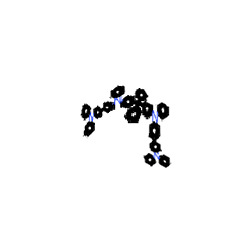 c1ccc(N(c2ccccc2)c2ccc(-c3ccc(N(c4ccccc4)c4ccc(C(c5ccccc5)(c5ccccc5)c5ccc(N(c6ccccc6)c6ccc(-c7ccc(N(c8ccccc8)c8ccccc8)cc7)cc6)cc5)cc4)cc3)cc2)cc1